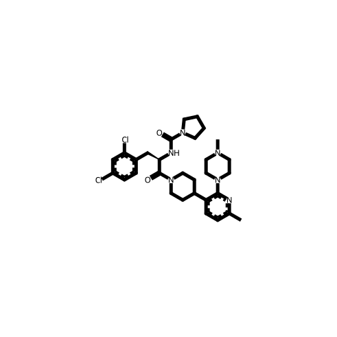 Cc1ccc(C2CCN(C(=O)[C@@H](Cc3ccc(Cl)cc3Cl)NC(=O)N3CCCC3)CC2)c(N2CCN(C)CC2)n1